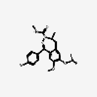 CNC(=O)N1N=C(c2ccc(Br)cc2)c2cc(OC)c(OC(F)F)cc2CC1C